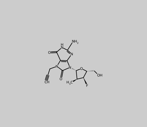 C#CCn1c(=O)n([C@@H]2O[C@H](CO)[C@@H](F)[C@H]2C)c2nc(N)[nH]c(=O)c21